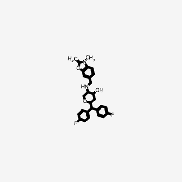 C=C1Oc2cc(CNC3COC(C(c4ccc(F)cc4)c4ccc(F)cc4)CC3O)ccc2N1C